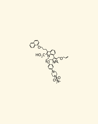 C=CCOCc1c(-c2cccc3c(CCCOc4cccc5ccccc45)c(C(=O)O)n(CC=C)c23)c(COc2ccc(N3CCN(S(=O)(=O)N(C)C)CC3)cc2)nn1C